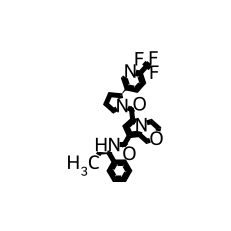 CC[C@@H](NC(=O)c1cc(C(=O)N2CCC[C@@H]2c2ccc(C(F)(F)F)nc2)n2c1COCC2)c1ccccc1